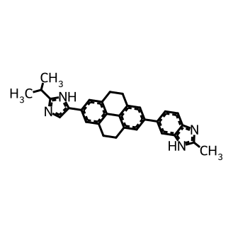 Cc1nc2ccc(-c3cc4c5c(c3)CCc3cc(-c6cnc(C(C)C)[nH]6)cc(c3-5)CC4)cc2[nH]1